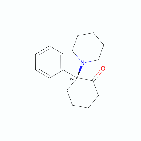 O=C1CCCC[C@@]1(c1ccccc1)N1CCCCC1